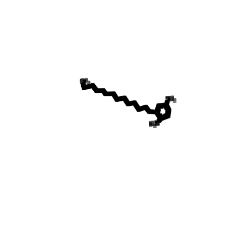 CCCCCCCCCCCCCCc1cc(N)ccc1N